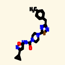 Cc1ccc(Cc2nsc(N3CCN(C(=O)Nc4cc(C5CC5)no4)CC3)n2)cc1